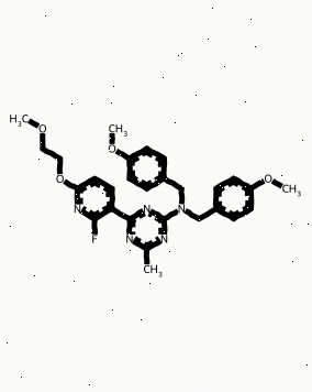 COCCOc1ccc(-c2nc(C)nc(N(Cc3ccc(OC)cc3)Cc3ccc(OC)cc3)n2)c(F)n1